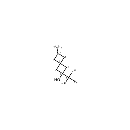 CN1CC2(C1)CC(O)(C(F)(F)F)C2